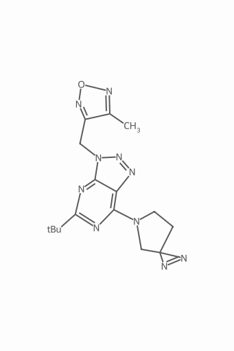 Cc1nonc1Cn1nnc2c(N3CCC4(C3)N=N4)nc(C(C)(C)C)nc21